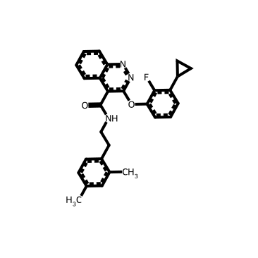 Cc1ccc(CCNC(=O)c2c(Oc3cccc(C4CC4)c3F)nnc3ccccc23)c(C)c1